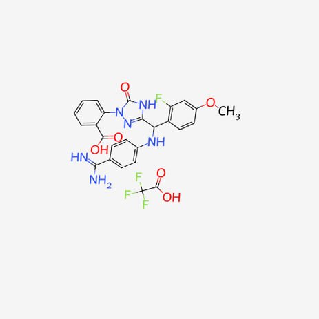 COc1ccc(C(Nc2ccc(C(=N)N)cc2)c2nn(-c3ccccc3C(=O)O)c(=O)[nH]2)c(F)c1.O=C(O)C(F)(F)F